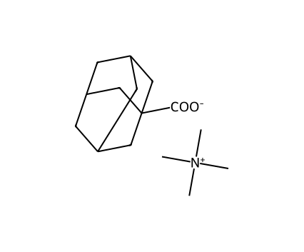 C[N+](C)(C)C.O=C([O-])C12CC3CC(CC(C3)C1)C2